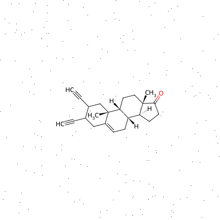 C#CC1CC2=CC[C@@H]3[C@@H](CC[C@]4(C)C(=O)CC[C@@H]34)[C@@]2(C)CC1C#C